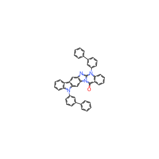 O=c1c2ccccc2n(-c2cccc(-c3ccccc3)c2)c2nc3cc4c5ccccc5n(-c5cccc(-c6ccccc6)c5)c4cc3n12